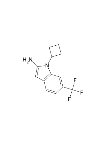 Nc1cc2ccc(C(F)(F)F)cc2n1C1CCC1